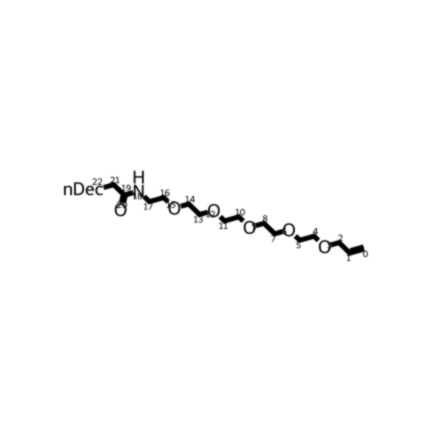 C=CCOCCOCCOCCOCCOCCNC(=O)CCCCCCCCCCC